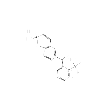 CC1(C)C=Cc2cc(C(O)c3ccccc3C(F)(F)F)ccc2O1